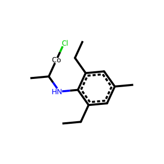 CCc1cc(C)cc(CC)c1N[CH](C)[Co][Cl]